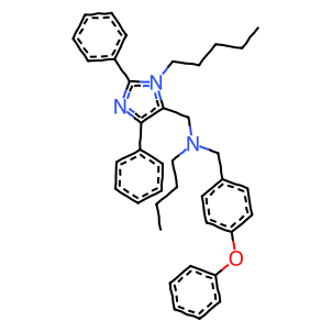 CCCCCn1c(-c2ccccc2)nc(-c2ccccc2)c1CN(CCCC)Cc1ccc(Oc2ccccc2)cc1